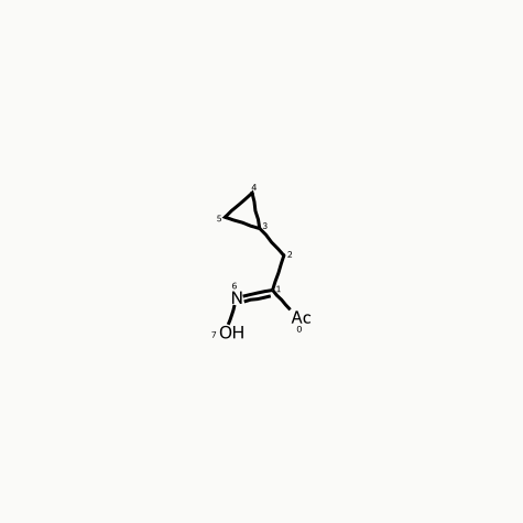 CC(=O)C(CC1CC1)=NO